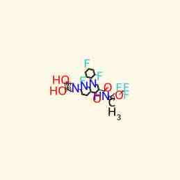 C[C@@H](COC(F)(F)F)NC(=O)c1cn(-c2c(F)cc(F)cc2F)c2nc(N3C[C@@H](O)[C@H](O)C3)ccc2c1=O